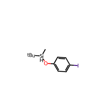 C[SiH](Oc1ccc(I)cc1)C(C)(C)C